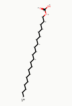 CCCCCCCCCCCCCCCCCCCCCCOC(=O)O.[LiH]